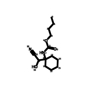 CCCCOC(=O)NC1(C(O)C#N)CCCCC1